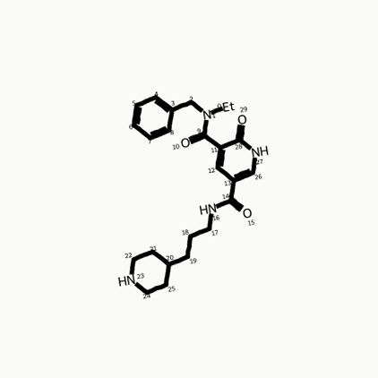 CCN(Cc1ccccc1)C(=O)c1cc(C(=O)NCCCC2CCNCC2)c[nH]c1=O